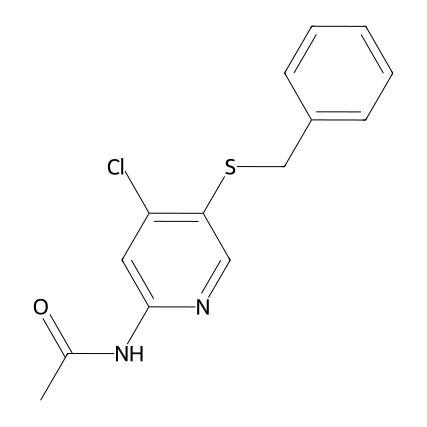 CC(=O)Nc1cc(Cl)c(SCc2ccccc2)cn1